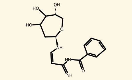 N=C(/C=C\N[C@H]1CC(O)C(O)[C@H](O)CO1)NC(=O)c1ccccc1